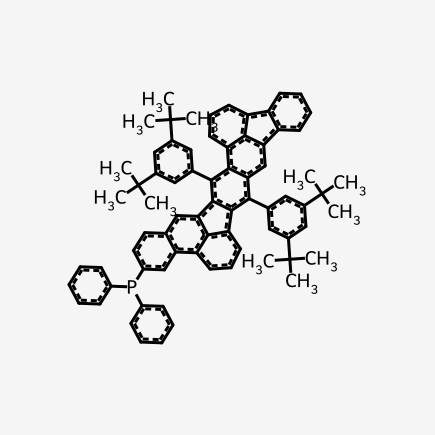 CC(C)(C)c1cc(-c2c3cc4c5ccccc5c5cccc(c3c(-c3cc(C(C)(C)C)cc(C(C)(C)C)c3)c3c6cc7ccc(P(c8ccccc8)c8ccccc8)cc7c7cccc(c23)c76)c54)cc(C(C)(C)C)c1